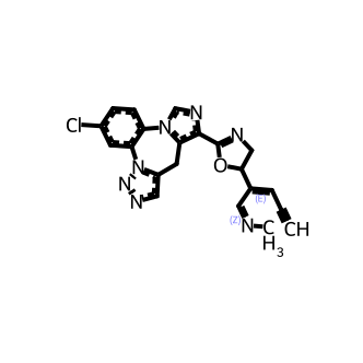 C#C/C=C(\C=N/C)C1CN=C(c2ncn3c2Cc2cnnn2-c2cc(Cl)ccc2-3)O1